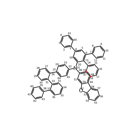 c1ccc(-c2cc(-c3ccccc3)c(-c3ccccc3)c(N(c3ccc(-c4ccccc4-c4ccccc4-c4ccccc4)cc3)c3ccc4c(c3)oc3ccccc34)c2)cc1